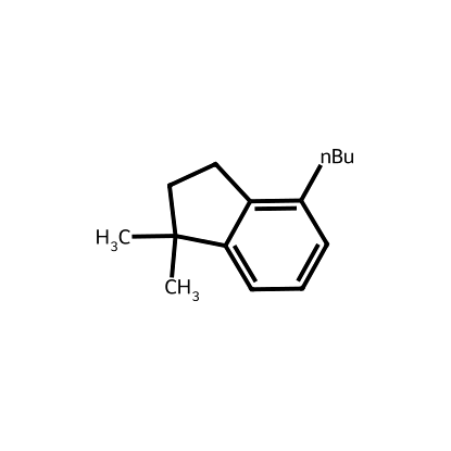 CCCCc1cccc2c1CCC2(C)C